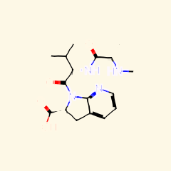 CN[C@@H](C)C(=O)N[C@H](C(=O)N1c2ncccc2C[C@H]1C(=O)O)C(C)C